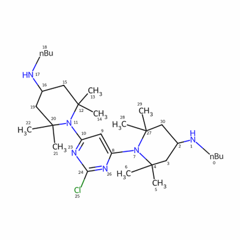 CCCCNC1CC(C)(C)N(c2cc(N3C(C)(C)CC(NCCCC)CC3(C)C)nc(Cl)n2)C(C)(C)C1